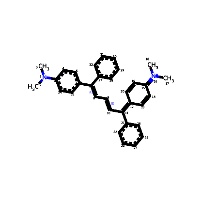 CN(C)c1ccc(/C(=C/C=C/C(=C2C=CC(=[N+](C)C)C=C2)c2ccccc2)c2ccccc2)cc1